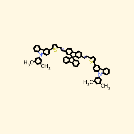 Cc1cc(C)cc(-n2c3ccccc3c3cc(-c4ccc(/C=C/c5ccc6c(c5)C5(c7ccccc7-c7ccccc75)c5cc(/C=C/c7ccc(-c8ccc9c(c8)c8ccccc8n9-c8cc(C)cc(C)c8)s7)ccc5-6)s4)ccc32)c1